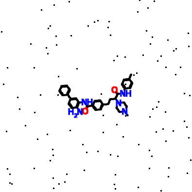 Cc1ccc(NC(=O)C(CCc2ccc(C(=O)Nc3cc(-c4ccccc4)ccc3N)cc2)N2CCN(C)CC2)cc1